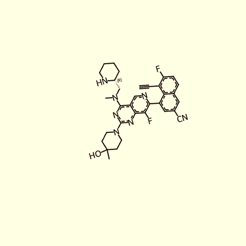 C#Cc1c(F)ccc2cc(C#N)cc(-c3ncc4c(N(C)C[C@H]5CCCCN5)nc(N5CCC(C)(O)CC5)nc4c3F)c12